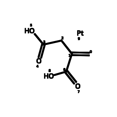 C=C(CC(=O)O)C(=O)O.[Pt]